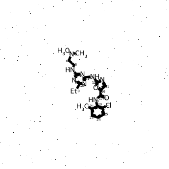 CCc1nc(NCCN(C)C)nc(Nc2ncc(C(=O)Nc3c(C)cccc3Cl)o2)n1